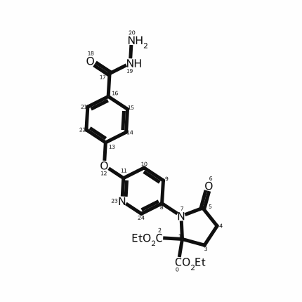 CCOC(=O)C1(C(=O)OCC)CCC(=O)N1c1ccc(Oc2ccc(C(=O)NN)cc2)nc1